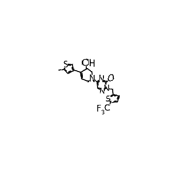 Cc1cc(C2=CCN(c3cnn(Cc4ccc(C(F)(F)F)s4)c(=O)n3)CC2O)cs1